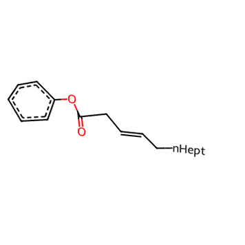 CCCCCCCC/C=C/CC(=O)Oc1ccccc1